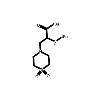 CC(C)(C)NC(CN1CCS(=O)(=O)CC1)C(=O)C(C)(C)C